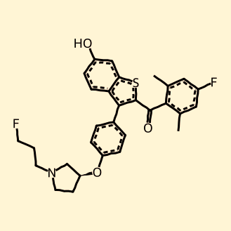 Cc1cc(F)cc(C)c1C(=O)c1sc2cc(O)ccc2c1-c1ccc(O[C@H]2CCN(CCCF)C2)cc1